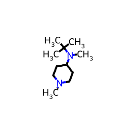 CN1CCC(N(C)C(C)(C)C)CC1